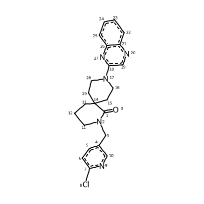 O=C1N(Cc2ccc(Cl)nc2)CCCC12CCN(c1cnc3ccccc3n1)CC2